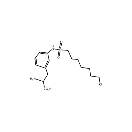 NC(Cc1cccc(NS(=O)(=O)CCCCCCCCl)c1)C(=O)O